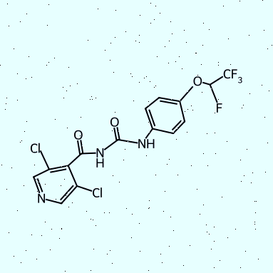 O=C(NC(=O)c1c(Cl)cncc1Cl)Nc1ccc(OC(F)C(F)(F)F)cc1